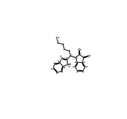 O=C1C(=O)N(C(CCCCF)c2nc3ccccc3[nH]2)c2ccccc21